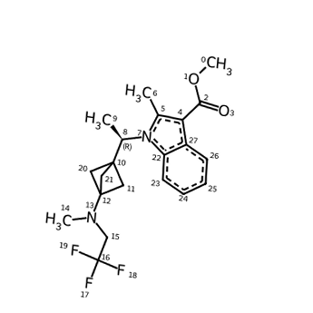 COC(=O)c1c(C)n([C@H](C)C23CC(N(C)CC(F)(F)F)(C2)C3)c2ccccc12